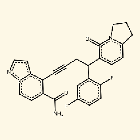 NC(=O)c1ccn2nccc2c1C#CCC(c1cc(F)ccc1F)c1ccc2n(c1=O)CCC2